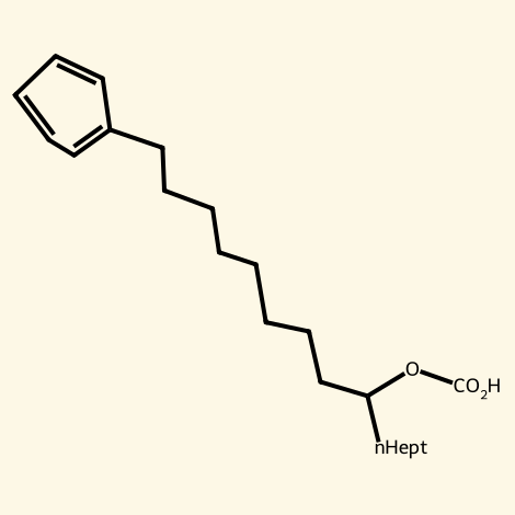 CCCCCCCC(CCCCCCCCc1ccccc1)OC(=O)O